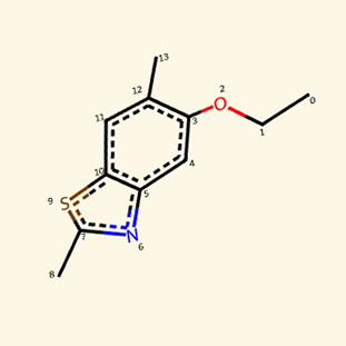 CCOc1cc2nc(C)sc2cc1C